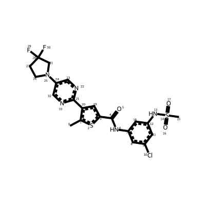 Cc1sc(C(=O)Nc2cc(Cl)cc(NS(C)(=O)=O)c2)cc1-c1ncc(N2CCC(F)(F)C2)cn1